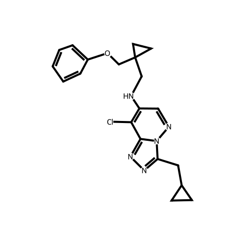 Clc1c(NCC2(COc3ccccc3)CC2)cnn2c(CC3CC3)nnc12